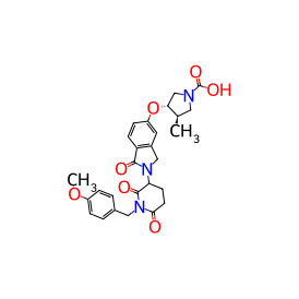 COc1ccc(CN2C(=O)CCC(N3Cc4cc(O[C@@H]5CN(C(=O)O)C[C@H]5C)ccc4C3=O)C2=O)cc1